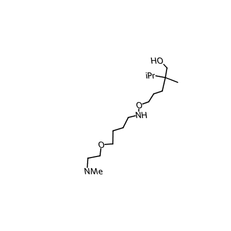 CNCCOCCCCNOCCCC(C)(CO)C(C)C